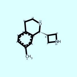 Cc1ccc2c(c1)[C@@H](C1CNC1)OCC2